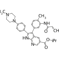 C=CC(=O)Nc1cc(-c2c(-c3ccc(N4CCN(C)CC4)cc3)[nH]c3ncc(C(=O)OC(C)C)cc23)ccc1C